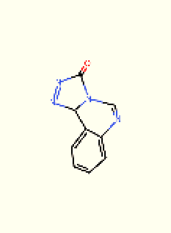 O=C1N=NC2c3ccccc3N=CN12